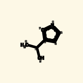 CC(O)c1ccno1